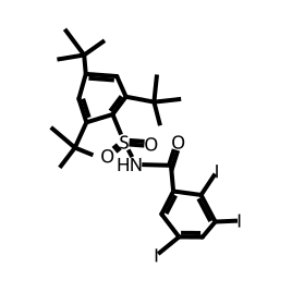 CC(C)(C)c1cc(C(C)(C)C)c(S(=O)(=O)NC(=O)c2cc(I)cc(I)c2I)c(C(C)(C)C)c1